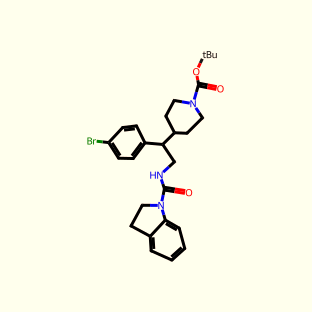 CC(C)(C)OC(=O)N1CCC(C(CNC(=O)N2CCc3ccccc32)c2ccc(Br)cc2)CC1